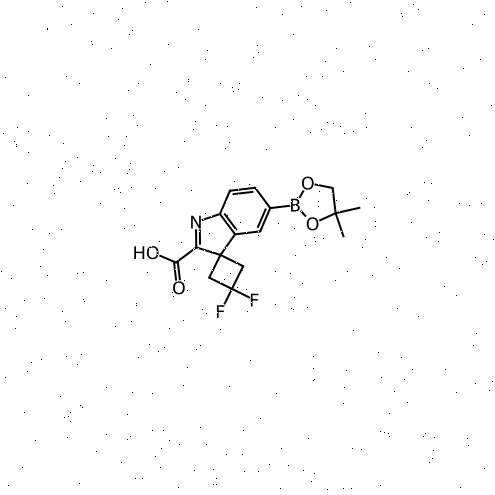 CC1(C)COB(c2ccc3c(c2)C2(CC(F)(F)C2)C(C(=O)O)=N3)O1